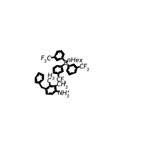 CCCCCC[B-](c1cccc(C(F)(F)F)c1)(c1cccc(C(F)(F)F)c1)c1cccc(C(F)(F)F)c1.Cc1c([NH3+])ccc(Cc2ccccc2)c1C